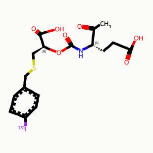 CC(=O)[C@H](CCC(=O)O)NC(=O)O[C@@H](CSCc1ccc([131I])cc1)C(=O)O